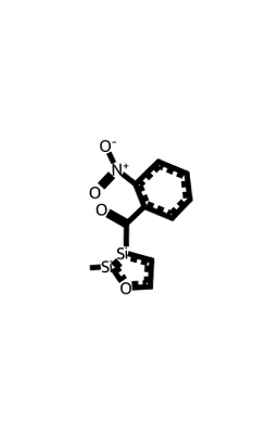 C[si]1occ[si]1C(=O)c1ccccc1[N+](=O)[O-]